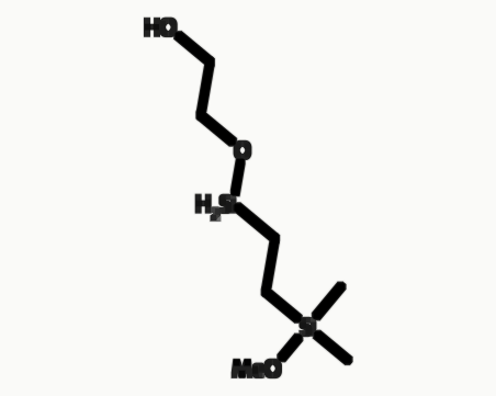 CO[Si](C)(C)CC[SiH2]OCCO